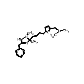 CN(C)Cc1ccc(CCCCC2(N)N=C(Cc3ccccc3)NN2C)o1